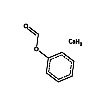 O=COc1ccccc1.[CaH2]